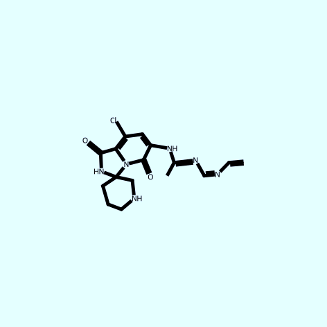 C=C/N=C\N=C(/C)Nc1cc(Cl)c2n(c1=O)C1(CCCNC1)NC2=O